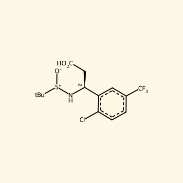 CC(C)(C)[S+]([O-])N[C@@H](CC(=O)O)c1cc(C(F)(F)F)ccc1Cl